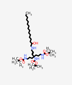 CCCCCCCCCCCCCCC(O)CNC/C=C/C(CCCNC(=O)OC(C)(C)C)(CCCNC(=O)OC(C)(C)C)NC(=O)OC(C)(C)C